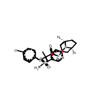 CC(C)(Oc1ccc(Cl)cc1)C(=O)N[C@H]1C[C@H]2CC[C@@H](C1)N2c1ccc(S(N)(=O)=O)cn1